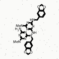 CNc1nc(NCc2ccc3c(c2)OCO3)nc(NN(Cc2ccc3c(c2)OCO3)c2nc(N)nc(NC)n2)n1